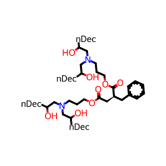 CCCCCCCCCCC(O)CN(CCCOC(=O)C[C@H](Cc1ccccc1)C(=O)OCCCN(CC(O)CCCCCCCCCC)CC(O)CCCCCCCCCC)CC(O)CCCCCCCCCC